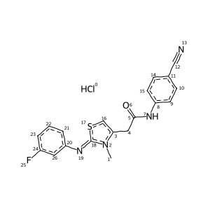 Cl.Cn1c(CC(=O)Nc2ccc(C#N)cc2)csc1=Nc1cccc(F)c1